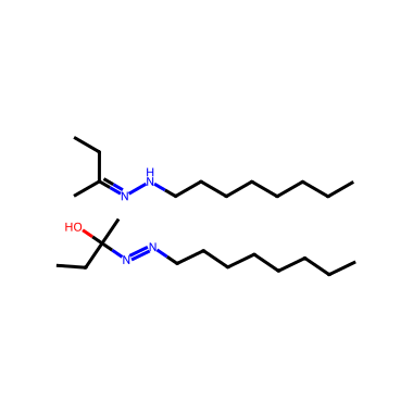 CCCCCCCCN=NC(C)(O)CC.CCCCCCCCNN=C(C)CC